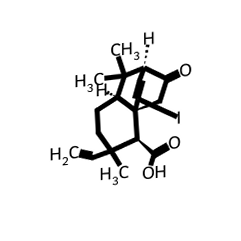 C=CC1(C)CC[C@H]2C(C)(C)[C@@H]3C=C(I)[C@]2(CC3=O)[C@H]1C(=O)O